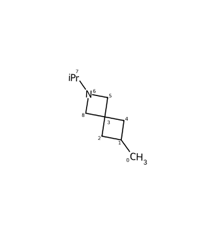 CC1CC2(C1)CN(C(C)C)C2